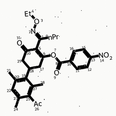 CCCC(=NOCC)C1=C(OC(=O)c2ccc([N+](=O)[O-])cc2)CC(c2c(C)cc(C)c(C(C)=O)c2C)CC1=O